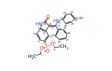 CCOP(=O)(OCC)c1ccc2c(c1)/C(=C(/Nc1ccc(I)cc1)c1ccccc1)C(=O)N2